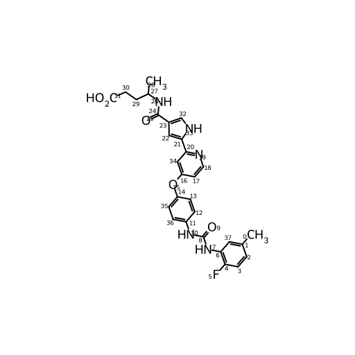 Cc1ccc(F)c(NC(=O)Nc2ccc(Oc3ccnc(-c4cc(C(=O)NC(C)CCC(=O)O)c[nH]4)c3)cc2)c1